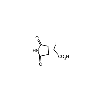 O=C(O)CI.O=C1CCC(=O)N1